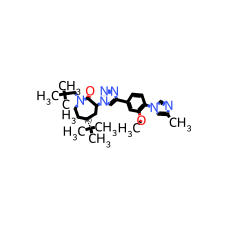 COc1cc(-c2cn(C3C[C@H](C(C)(C)C)CCN(CC(C)(C)C)C3=O)nn2)ccc1-n1cnc(C)c1